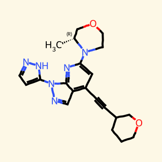 C[C@@H]1COCCN1c1cc(C#CC2CCCOC2)c2cnn(-c3ccn[nH]3)c2n1